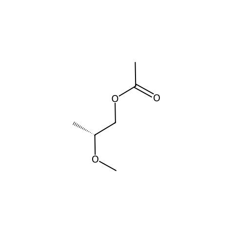 CO[C@H](C)COC(C)=O